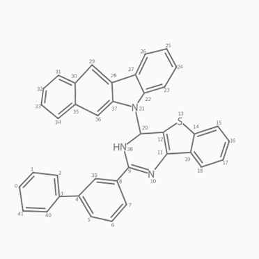 c1ccc(-c2cccc(C3=Nc4c(sc5ccccc45)C(n4c5ccccc5c5cc6ccccc6cc54)N3)c2)cc1